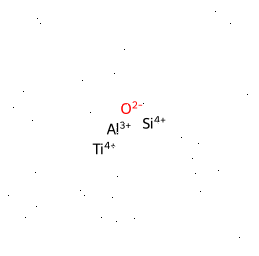 [Al+3].[O-2].[Si+4].[Ti+4]